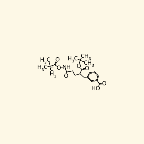 CC(C)(C)OC(=O)C(CCC(=O)NOC(=O)C(C)(C)C)Cc1cccc(C(=O)O)c1